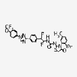 Cc1ccc(C(C)C)c(N2C(=O)CS/C2=N\C(=O)NC(F)C(F)c2ccc(-c3ncn(-c4ccc(OC(F)(F)F)cc4)n3)cc2)c1